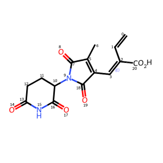 C=C/C(=C\C1=C(C)C(=O)N(C2CCC(=O)NC2=O)C1=O)C(=O)O